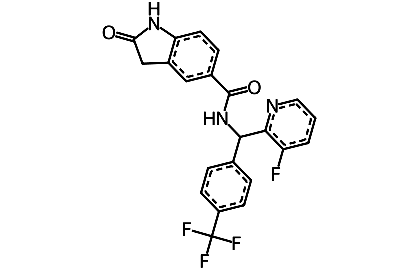 O=C1Cc2cc(C(=O)NC(c3ccc(C(F)(F)F)cc3)c3ncccc3F)ccc2N1